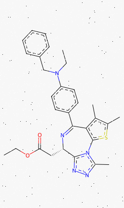 CCOC(=O)C[C@@H]1N=C(c2ccc(N(CC)Cc3ccccc3)cc2)c2c(sc(C)c2C)-n2c(C)nnc21